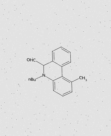 CCCCN1c2cccc(C)c2-c2ccccc2C1C=O